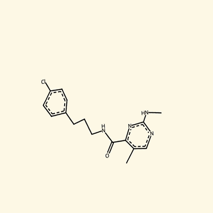 CNc1ncc(C)c(C(=O)NCCCc2ccc(Cl)cc2)n1